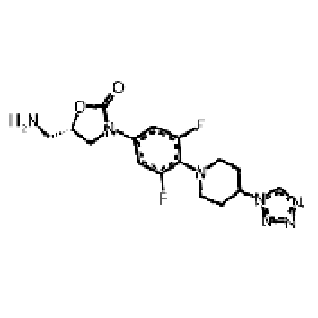 NC[C@H]1CN(c2cc(F)c(N3CCC(n4cnnn4)CC3)c(F)c2)C(=O)O1